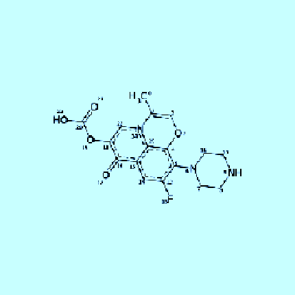 CC1=COc2c(N3CCNCC3)c(F)cc3c(=O)c(OC(=O)O)cn1c23